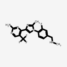 CNCc1ccc(-n2cc(-c3nc(N)ncc3C(F)(F)F)nc2C)c(F)c1